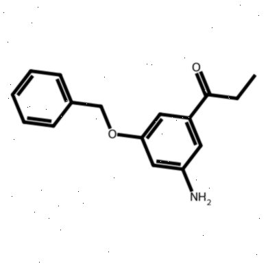 CCC(=O)c1cc(N)cc(OCc2ccccc2)c1